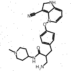 CN1CCC(NC(=O)C(CN)Cc2ccc(ON3C=CC=C4NCC(C#N)=C43)cc2)CC1